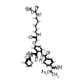 CN(C)C(=N)c1ccc(C(=O)Nc2ccc(OCC(=O)NCCCCCNC(=O)OC(C)(C)C)cc2C(=O)Nc2ccccn2)cc1